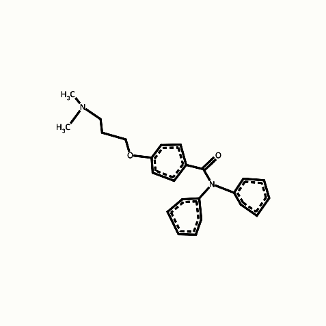 CN(C)CCCOc1ccc(C(=O)N(c2ccccc2)c2ccccc2)cc1